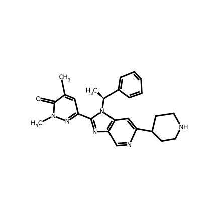 Cc1cc(-c2nc3cnc(C4CCNCC4)cc3n2[C@@H](C)c2ccccc2)nn(C)c1=O